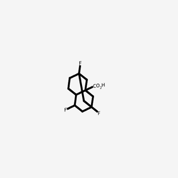 O=C(O)C12CC3(F)CCC1C(F)CC(F)(C3)C2